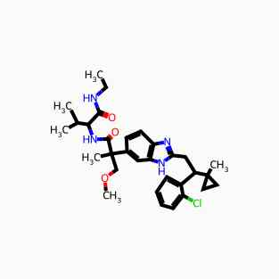 CCNC(=O)C(NC(=O)C(C)(COC)c1ccc2nc(CC(c3ccccc3Cl)C3(C)CC3)[nH]c2c1)C(C)C